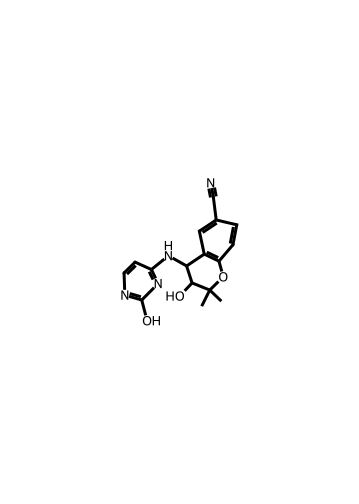 CC1(C)Oc2ccc(C#N)cc2C(Nc2ccnc(O)n2)C1O